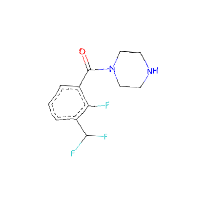 O=C(c1cccc(C(F)F)c1F)N1CCNCC1